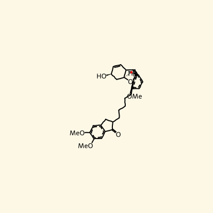 COc1cc2c(cc1OC)C(=O)C(CCCCCN1CC[C@@]34C=C[C@H](O)C[C@@H]3Oc3c(OC)ccc(c34)C1)C2